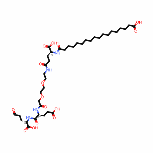 O=[C]CC[C@H](NC(=O)[C@H](CCC(=O)O)NC(=O)COCCOCCNC(=O)CC[C@H](NC(=O)CCCCCCCCCCCCCCCCC(=O)O)C(=O)O)C(=O)O